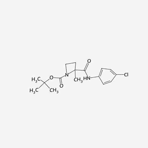 CC(C)(C)OC(=O)N1CCC1(C)C(=O)Nc1ccc(Cl)cc1